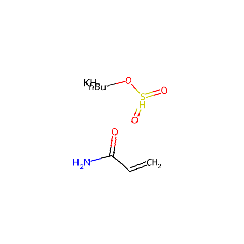 C=CC(N)=O.CCCCO[SH](=O)=O.[KH]